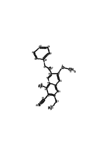 COc1cc2nc(SC)c(C#N)c(C)c2cc1OCc1ccccc1